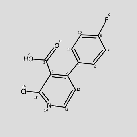 O=C(O)c1c(-c2ccc(F)cc2)ccnc1Cl